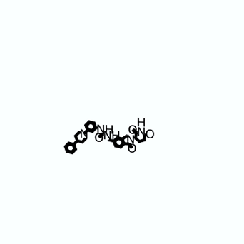 O=C1CCC(N2Cc3cc(CNC(=O)Nc4cccc(N5CCC(c6ccccc6)CC5)c4)ccc3C2=O)C(=O)N1